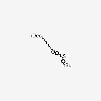 CCCCCCCCCCCCCCCCCCCCCOc1ccc(C=CC(=S)c2ccc(CCCC)cc2)cc1